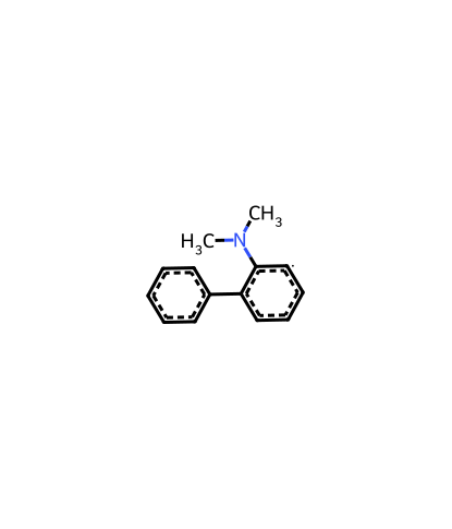 CN(C)c1[c]cccc1-c1ccccc1